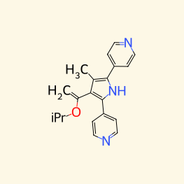 C=C(OC(C)C)c1c(-c2ccncc2)[nH]c(-c2ccncc2)c1C